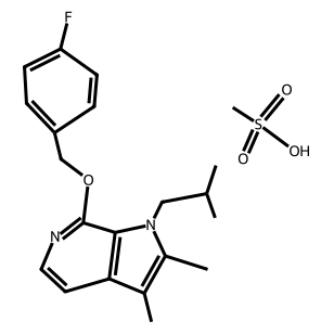 CS(=O)(=O)O.Cc1c(C)n(CC(C)C)c2c(OCc3ccc(F)cc3)nccc12